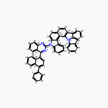 c1ccc(-c2ccc(-c3nc(-n4c5ccccc5c5c6c(ccc7c8cccc9c%10ccccc%10n(c98)c76)ccc54)nc4ccccc34)c3ccccc23)cc1